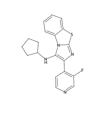 Fc1cnccc1-c1nc2sc3ccccc3n2c1NC1CCCC1